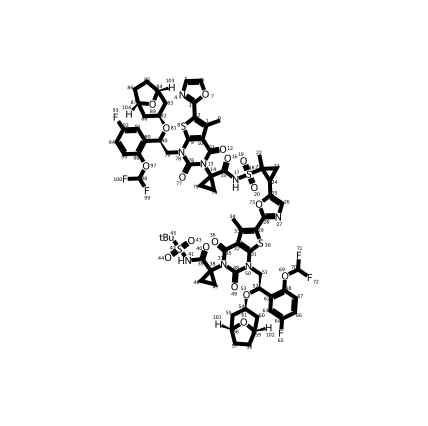 Cc1c(-c2ncco2)sc2c1c(=O)n(C1(C(=O)NS(=O)(=O)C3(C)CC3c3cnc(-c4sc5c(c4C)c(=O)n(C4(C(=O)NS(=O)(=O)C(C)(C)C)CC4)c(=O)n5C[C@H](O[C@@H]4C[C@H]5CC[C@@H](C4)O5)c4cc(F)ccc4OC(F)F)o3)CC1)c(=O)n2C[C@H](O[C@@H]1C[C@H]2CC[C@@H](C1)O2)c1cc(F)ccc1OC(F)F